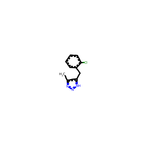 [CH2]c1nn[nH]c1Cc1ccccc1Cl